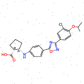 CC(C)Oc1ccc(-c2noc(-c3ccc(N[C@H]4CCC[C@H]4C(=O)O)cc3)n2)cc1Cl